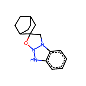 c1ccc2c(c1)NN1OC3(CC4CCC3CC4)CN21